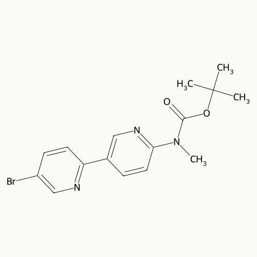 CN(C(=O)OC(C)(C)C)c1ccc(-c2ccc(Br)cn2)cn1